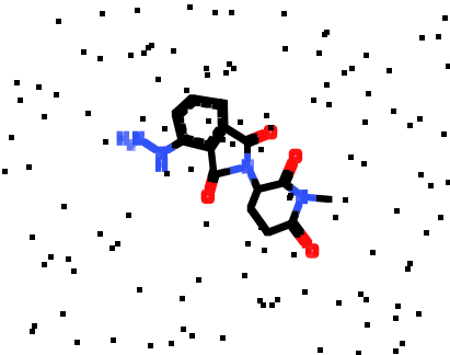 CN1C(=O)CCC(N2C(=O)c3cccc(NN)c3C2=O)C1=O